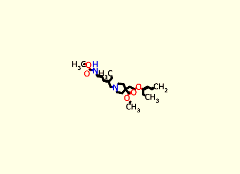 C=C/C=C(\CC)OCCC1(C(=O)OCC)CCN(C/C(=C/C=C/NC(=O)OC)CC)CC1